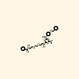 CN(C)c1nc(NCCOCCOCCNC(=O)c2ccccc2)nc(Nc2ccc(OCc3ccccc3)cc2)n1